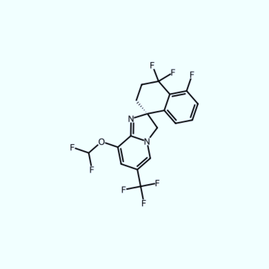 Fc1cccc2c1C(F)(F)CC[C@@]21CN2C=C(C(F)(F)F)C=C(OC(F)F)C2=N1